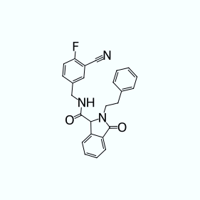 N#Cc1cc(CNC(=O)C2c3ccccc3C(=O)N2CCc2ccccc2)ccc1F